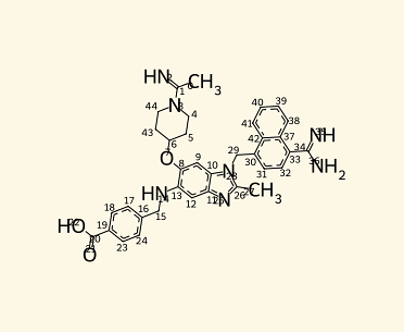 CC(=N)N1CCC(Oc2cc3c(cc2NCc2ccc(C(=O)O)cc2)nc(C)n3Cc2ccc(C(=N)N)c3ccccc23)CC1